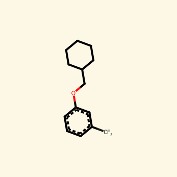 FC(F)(F)c1cccc(OCC2CCCCC2)c1